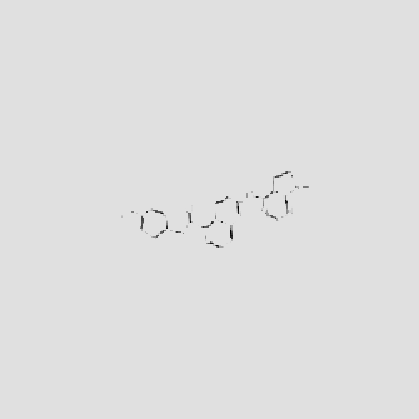 Cc1ccc(NC(=O)c2cccc3cc(Oc4ncnc5[nH]ccc45)ccc23)cc1